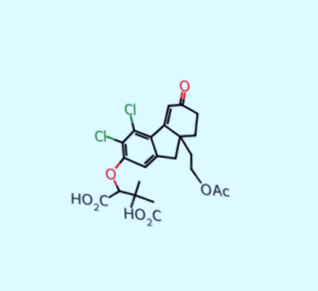 CC(=O)OCCC12CCC(=O)C=C1c1c(cc(OC(C(=O)O)C(C)(C)C(=O)O)c(Cl)c1Cl)C2